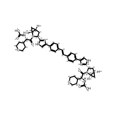 O=C(O)N[C@H](C(=O)N1[C@@H]2C[C@@H]2C[C@H]1c1nc(-c2ccc(C=Cc3ccc(-c4c[nH]c([C@@H]5C[C@H]6C[C@H]6N5C(=O)[C@@H](NC(=O)O)C5CCOCC5)n4)cc3)cc2)c[nH]1)C1CCOCC1